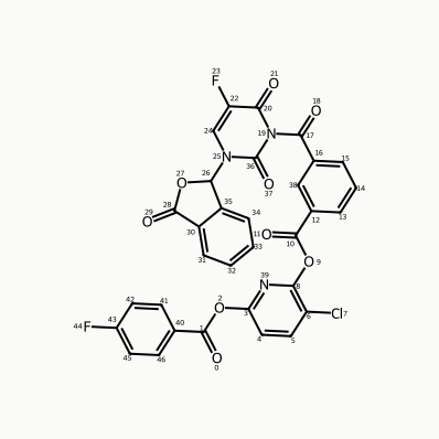 O=C(Oc1ccc(Cl)c(OC(=O)c2cccc(C(=O)n3c(=O)c(F)cn(C4OC(=O)c5ccccc54)c3=O)c2)n1)c1ccc(F)cc1